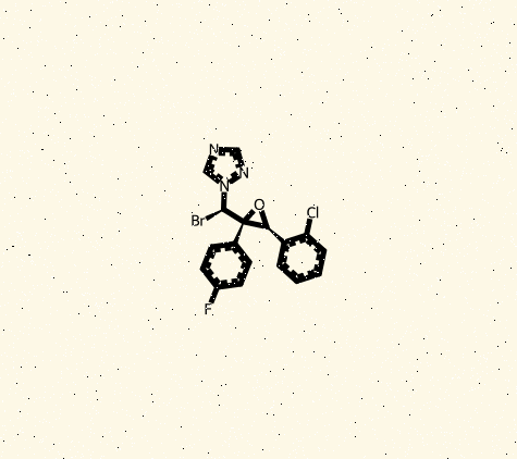 Fc1ccc([C@@]2([C@@H](Br)n3cncn3)O[C@H]2c2ccccc2Cl)cc1